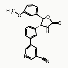 COc1cccc([C@H]2OC(=O)N[C@@H]2c2cccc(-c3cncc(C#N)c3)c2)c1